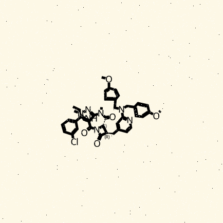 CC[C@@H](NC(=O)N1C(=O)[C@H](Cc2ccnc(N(Cc3ccc(OC)cc3)Cc3ccc(OC)cc3)c2)[C@H]1C(=O)N(C)c1ccn(C)n1)c1cccc(Cl)c1